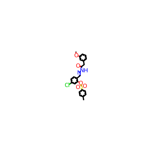 COc1cccc(CC(=O)NN=Cc2ccc(Cl)cc2OS(=O)(=O)c2ccc(C)cc2)c1